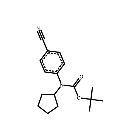 CC(C)(C)OC(=O)N(c1ccc(C#N)cc1)C1CCCC1